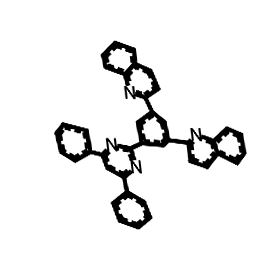 c1ccc(-c2cc(-c3ccccc3)nc(-c3cc(-c4ccc5ccccc5n4)cc(-c4ccc5ccccc5n4)c3)n2)cc1